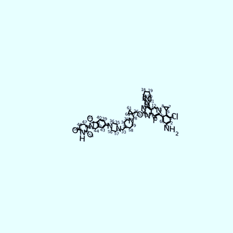 Nc1cc(Cl)c(C2CC2)c(-c2ncc3c(N4CC5CCC(C4)N5)nc(OCC4(CN5CCC(CN6CCN(c7ccc8c(c7)CN([C@H]7CCC(=O)NC7=O)C8=O)CC6)CC5)CC4)nc3c2F)c1